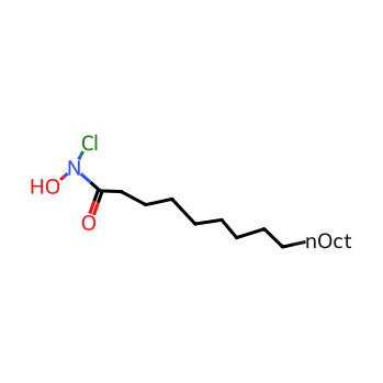 CCCCCCCCCCCCCCCCC(=O)N(O)Cl